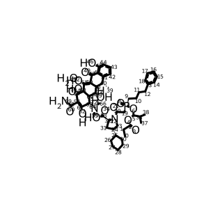 CCC(=O)OC(O[P@](=O)(CCCCc1ccccc1)CC(=O)N1C[C@H](C2CCCCC2)C[C@H]1C(=O)O)C(C)C.C[C@H]1c2cccc(O)c2C(=O)C2=C(O)[C@]3(O)C(=O)C(C(N)=O)=C(O)[C@@H](N(C)C)[C@@H]3[C@@H](O)[C@@H]21.O